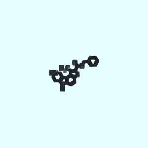 Cc1c(C(=O)OCc2ccccc2)sc2ccc3[nH]c4c(c3c12)CNCC4